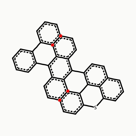 c1ccc(-c2ccccc2-c2c3ccccc3c(-c3ccc4cccc5c4c3-c3ccccc3S5)c3ccccc23)cc1